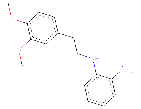 COc1ccc(CCNc2ccccc2N)cc1OC